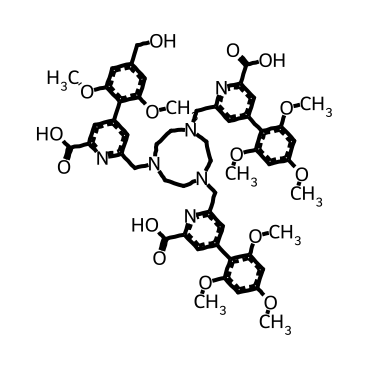 COc1cc(OC)c(-c2cc(CN3CCN(Cc4cc(-c5c(OC)cc(CO)cc5OC)cc(C(=O)O)n4)CCN(Cc4cc(-c5c(OC)cc(OC)cc5OC)cc(C(=O)O)n4)CC3)nc(C(=O)O)c2)c(OC)c1